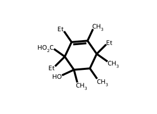 CCC1=C(C)C(C)(CC)C(C)C(C)(O)C1(CC)C(=O)O